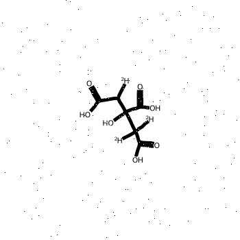 [2H]C(C(=O)O)C(O)(C(=O)O)C([2H])([2H])C(=O)O